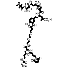 CC[C@H](C)[C@H](NC(=O)C(C)(C)N(C)C)C(=O)N(C)[C@H](C[C@@H](OC(C)=O)c1nc(C(=O)N[C@@H](CCc2ccc(O)c(NC(=O)CCOCCOCCNC(=O)[C@H](CCCCNC(=O)OC(C)(C)C)NC(=O)CCCN3C(=O)C=CC3=O)c2)CC(C)C(=O)O)cs1)C(C)C